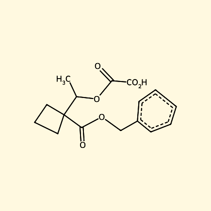 CC(OC(=O)C(=O)O)C1(C(=O)OCc2ccccc2)CCC1